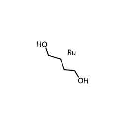 OCCCCO.[Ru]